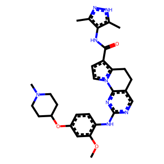 COc1cc(OC2CCN(C)CC2)ccc1Nc1ncc2c(n1)-n1ccc(C(=O)Nc3c(C)n[nH]c3C)c1CC2